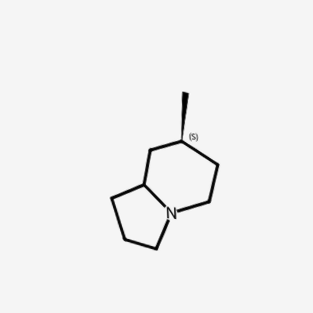 C[C@H]1CCN2CCCC2C1